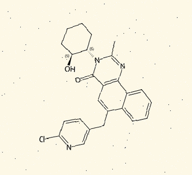 Cc1nc2c(cc(Cc3ccc(Cl)nc3)c3ccccc32)c(=O)n1[C@H]1CCCC[C@@H]1O